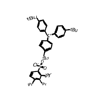 CC(C)(C)c1ccc([S+](c2ccc(C(C)(C)C)cc2)c2ccc(C(C)(C)C)cc2)cc1.CC(C)c1ccc(S(=O)(=O)[O-])c(C(C)C)c1C(C)C